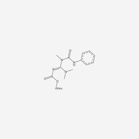 CCCCCCOC(=O)N=C(N(C)C)N(C)C(=O)Nc1ccccc1